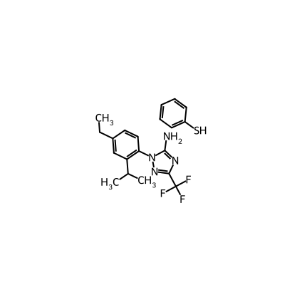 CCc1ccc(-n2nc(C(F)(F)F)nc2N)c(C(C)C)c1.Sc1ccccc1